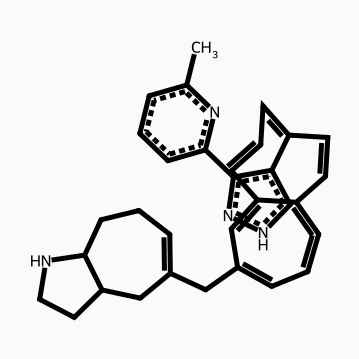 Cc1cccc(-c2n[nH]cc2C2=C\C=C\C3=CC(CC4=CCCC5NCCC5C4)=CC=C=C3/C=C\2)n1